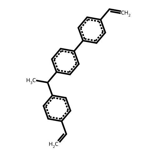 C=Cc1ccc(-c2ccc(C(C)c3ccc(C=C)cc3)cc2)cc1